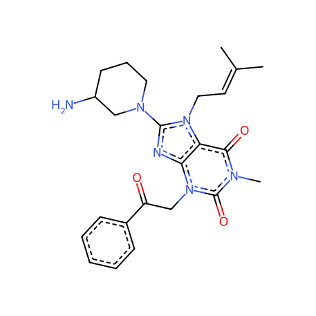 CC(C)=CCn1c(N2CCCC(N)C2)nc2c1c(=O)n(C)c(=O)n2CC(=O)c1ccccc1